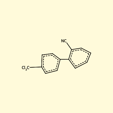 N#Cc1ccccc1-c1ccc(C(Cl)(Cl)Cl)cc1